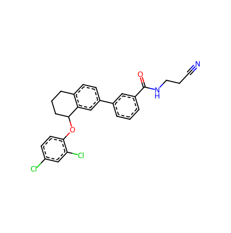 N#CCCNC(=O)c1cccc(-c2ccc3c(c2)C(Oc2ccc(Cl)cc2Cl)CCC3)c1